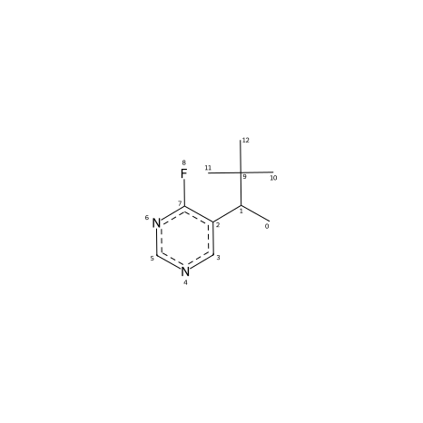 CC(c1cncnc1F)C(C)(C)C